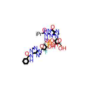 CC(C)C(=O)Nc1nc2c(ncn2[C@@H]2O[C@@H](CO)[C@@H](F)[C@H]2OP(O)(=S)OC[C@H]2O[C@H](n3cnc4c(NC(=O)c5ccccc5)ncnc43)[C@H](F)[C@@H]2O)c(=O)[nH]1